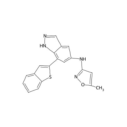 Cc1cc(Nc2cc(-c3cc4ccccc4s3)c3[nH]ncc3c2)no1